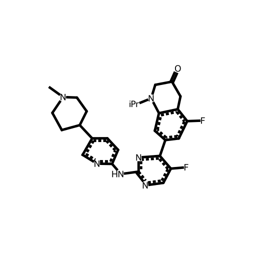 CC(C)N1CC(=O)Cc2c(F)cc(-c3nc(Nc4ccc(C5CCN(C)CC5)cn4)ncc3F)cc21